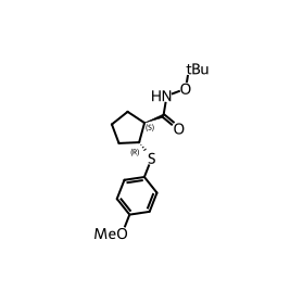 COc1ccc(S[C@@H]2CCC[C@H]2C(=O)NOC(C)(C)C)cc1